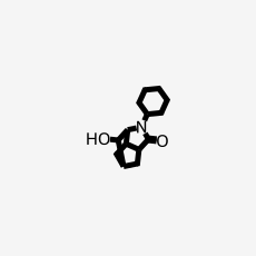 O=C1C2CC3CC2C(C3O)N1C1CCCCC1